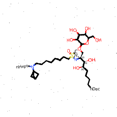 CCCCCCCCCCCCCC[C@@H](O)[C@@H](O)[C@H](COC1OC(CO)C(O)C(O)C1O)N=S(C)(=O)CCCCCCCCN(CCCCCCC)C12CC(C1)C2